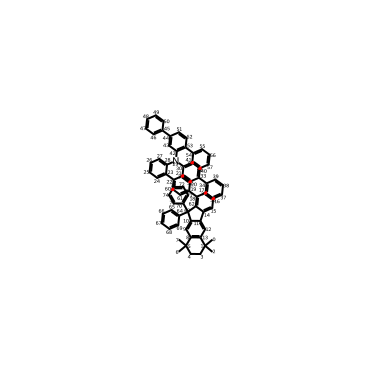 CC1(C)CCC(C)(C)c2cc3c(cc21)-c1cccc(-c2ccc(-c4ccccc4N(c4ccc(-c5ccccc5)cc4)c4cc(-c5ccccc5)ccc4-c4ccccc4)cc2)c1C3(c1ccccc1)c1ccccc1